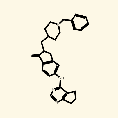 O=C1c2ccc(Nc3ncnc4c3CCC4)cc2CC1CC1CCN(Cc2ccccc2)CC1